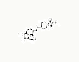 O=c1[nH]c2ccc(CCC3CCN(S(=O)(=O)C(F)(F)F)CC3)c3ncc1n23